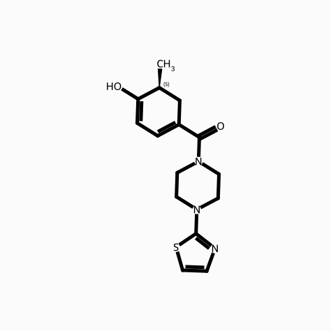 C[C@H]1CC(C(=O)N2CCN(c3nccs3)CC2)=CC=C1O